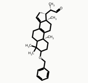 C[C@H](C=O)[C@H]1CC=C2C3=C(CC[C@@]21C)[C@@]1(C)CCC(OCc2ccccc2)C(C)(C)C1CC3